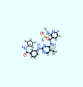 CN(C(=O)c1cccc(Nc2ncc(C(F)(F)F)c(NCc3cccnc3N(C)S(C)(=O)=O)n2)c1)C1CCCC1